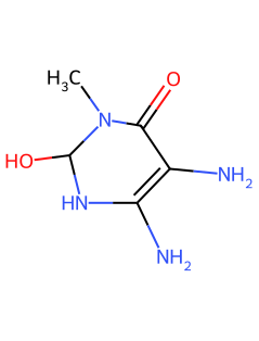 CN1C(=O)C(N)=C(N)NC1O